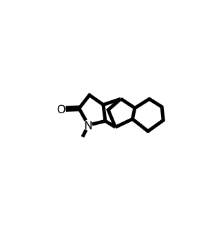 CN1C(=O)CC2C3CC(C4CCCCC34)C21